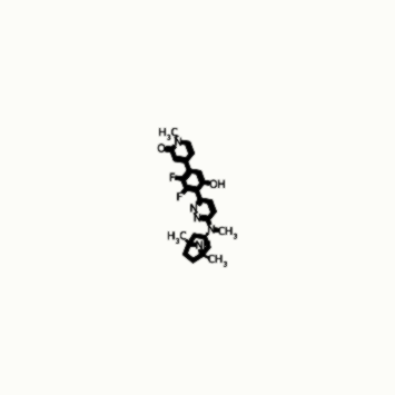 CN(c1ccc(-c2c(O)cc(-c3ccn(C)c(=O)c3)c(F)c2F)nn1)[C@H]1C[C@]2(C)CC[C@](C)(C1)N2